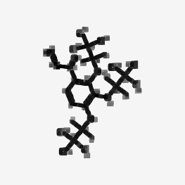 CC(C)(Oc1ccc([P](=O)N=N)c(OC(C)(C)C(Cl)(Cl)Cl)c1OC(C)(C)C(Cl)(Cl)Cl)C(Cl)(Cl)Cl